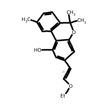 CCO/C=C/c1cc(O)c2c(c1)OC(C)(C)c1ccc(C)cc1-2